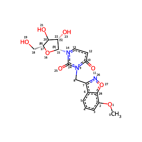 COc1cccc2c(Cn3c(=O)ccn([C@@H]4O[C@H](CO)C(O)[C@@H]4O)c3=O)noc12